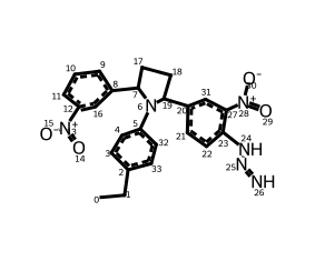 CCc1ccc(N2C(c3cccc([N+](=O)[O-])c3)CCC2c2ccc(NN=N)c([N+](=O)[O-])c2)cc1